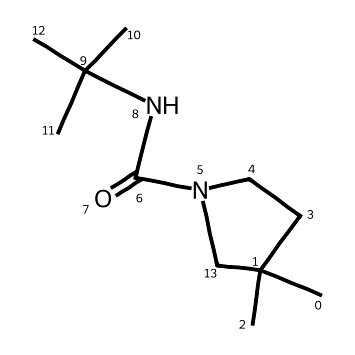 CC1(C)CCN(C(=O)NC(C)(C)C)C1